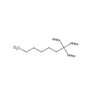 CCCCCCC(CCCCCC)(CCCCCC)CCCCCC(Cl)(Cl)Cl